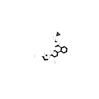 Cc1cc(C)n(-c2ccc(-c3ccccc3-c3csc(NC4CC4)n3)cn2)n1